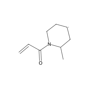 C=CC(=O)N1CC[CH]CC1C